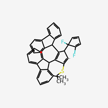 CCSC1=[C]C(C2(F)C=CC=C2F)C(C2c3ccccc3-c3ccccc32)=C1C1c2ccccc2-c2cccc(C)c21